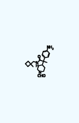 CC1(CNC(=O)C(C)(c2ccc(N)cc2)C2CCN(C=O)CC2)CCC1